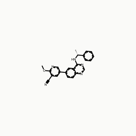 COc1ncc(-c2ccc3ncnc(N[C@H](C)c4ccccc4)c3c2)cc1C#N